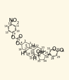 CC12CC[C@H](OC(=O)Oc3ccc([N+](=O)[O-])cc3)C[C@H]1CC[C@@H]1[C@@H]2CC[C@]2(C)[C@@H](c3ccc(=O)oc3)CC[C@]12O